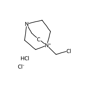 Cl.ClC[N+]12CCN(CC1)CC2.[Cl-]